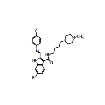 CN1CCN(CCCCNC(=O)c2c(/C=C/c3ccc(Cl)cc3)[nH]c3cc(Br)ccc23)CC1